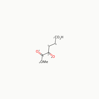 COC(=O)C(=O)CCC(=O)O